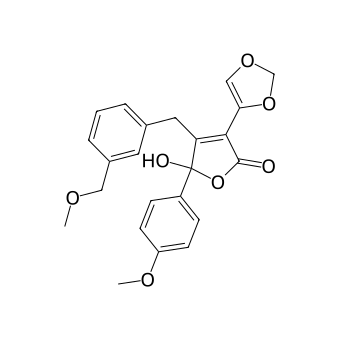 COCc1cccc(CC2=C(C3=COCO3)C(=O)OC2(O)c2ccc(OC)cc2)c1